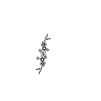 CCCN(CCC)CCN(C)S(=O)(=O)c1cc(Br)c(OC(=O)C(=O)Oc2c(Br)cc(S(=O)(=O)N(C)CCN(CCC)CCC)cc2Br)c(Br)c1